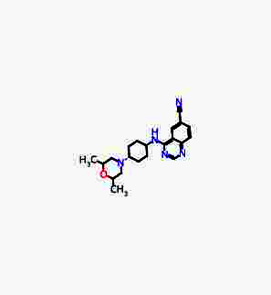 CC1CN([C@H]2CC[C@H](Nc3ncnc4ccc(C#N)cc34)CC2)CC(C)O1